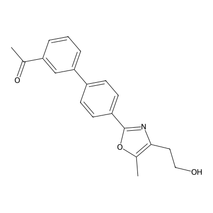 CC(=O)c1cccc(-c2ccc(-c3nc(CCO)c(C)o3)cc2)c1